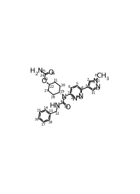 Cn1cc(-c2ccc(N(C(=O)NCc3ccccc3)[C@H]3CC[C@H](OC(N)=O)CC3)nn2)cn1